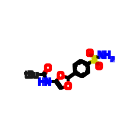 CC(C)(C)C(=O)NC1=COC(c2ccc(S(N)(=O)=O)cc2)O1